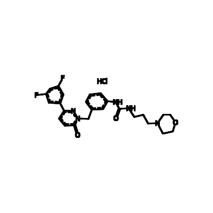 Cl.O=C(NCCCN1CCOCC1)Nc1cccc(Cn2nc(-c3cc(F)cc(F)c3)ccc2=O)c1